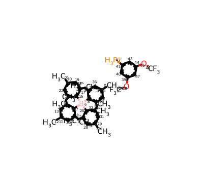 Cc1cc(C)c([B-](c2c(C)cc(C)cc2C)(c2c(C)cc(C)cc2C)c2c(C)cc(C)cc2C)c(C)c1.FC(F)(F)Oc1cc([PH3+])cc(OC(F)(F)F)c1